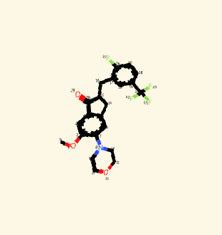 COc1cc2c(cc1N1CCOCC1)CC(Cc1cc(C(F)(F)F)ccc1F)C2=O